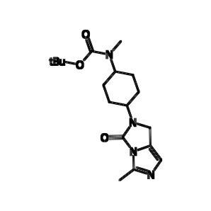 Cc1ncc2n1C(=O)N(C1CCC(N(C)C(=O)OC(C)(C)C)CC1)C2